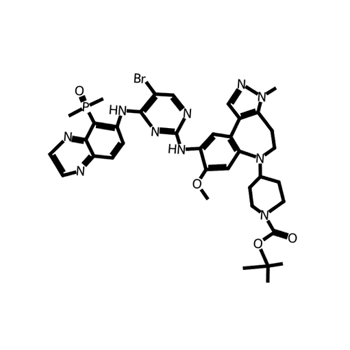 COc1cc2c(cc1Nc1ncc(Br)c(Nc3ccc4nccnc4c3P(C)(C)=O)n1)-c1cnn(C)c1CCN2C1CCN(C(=O)OC(C)(C)C)CC1